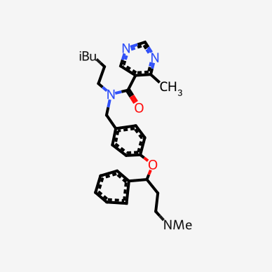 CCC(C)CCN(Cc1ccc(OC(CCNC)c2ccccc2)cc1)C(=O)c1cncnc1C